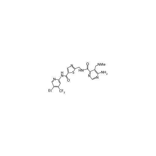 CCc1cnc(NC(=O)c2cnc(CNC(=O)c3ncnc(N)c3CNC)s2)cc1C(F)(F)F